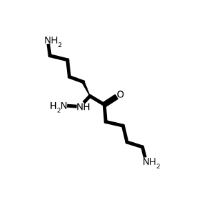 NCCCCC(=O)[C@H](CCCCN)NN